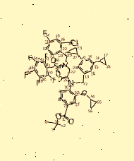 CC(C)(C)OC(=O)c1ccc(N(Cc2cc(C3CC3)cc(C3CC3)c2)C(=O)CN(Cc2ccc(F)cc2Cl)S(=O)(=O)c2c(F)c(F)c(F)c(F)c2F)c(OC2CC2)c1